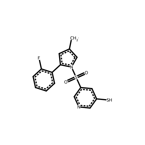 [CH2]c1cc(-c2ccccc2F)n(S(=O)(=O)c2cncc(S)c2)c1